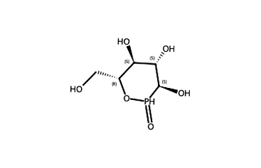 O=[PH]1O[C@H](CO)[C@@H](O)[C@H](O)[C@H]1O